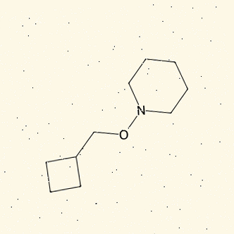 C1CCN(OCC2CCC2)CC1